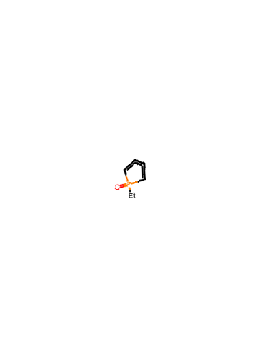 CCP1(=O)C=C=C=C1